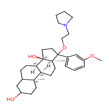 COc1cccc(C2(OCCN3CCCC3)CC[C@@]3(O)[C@@H]4CCC5CC(O)CC[C@]5(C)[C@@H]4CC[C@]23C)c1